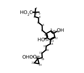 CC(C)(CCCCCc1cc(O)cc(CCCCCC2(OC=O)CC2)c1O)C(=O)O